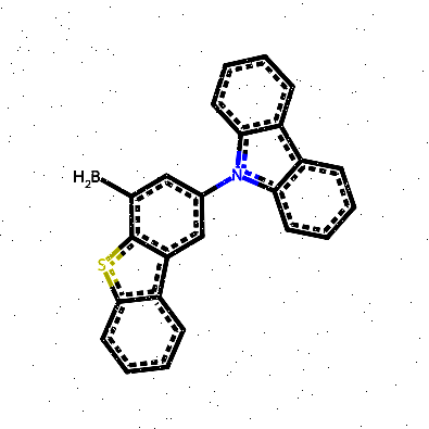 Bc1cc(-n2c3ccccc3c3ccccc32)cc2c1sc1ccccc12